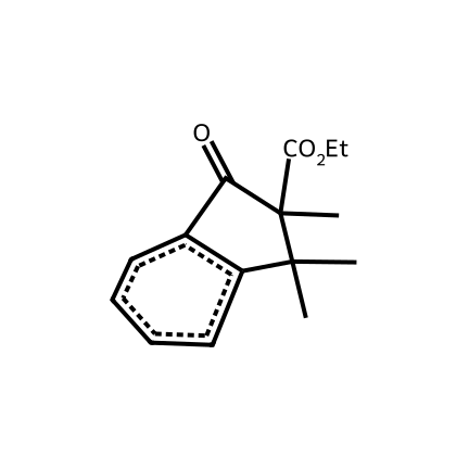 CCOC(=O)C1(C)C(=O)c2ccccc2C1(C)C